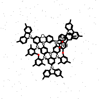 Cc1cc(C)c(N2c3cc4c(cc3B3c5cc(C)ccc5Oc5cc(-n6c7ccc(C)cc7c7cc(C)ccc76)cc2c53)B2c3cc5c(cc3N(c3c(C)cc(C)cc3C)c3cc(-n6c7ccc(C)cc7c7cc(C)ccc76)cc(c32)N4c2c(C)cc(C)cc2C)Nc2cc(-n3c4ccc(C)cc4c4cc(C)ccc43)cc3c2B5c2cc(C)cc4c5cc(C)ccc5n-3c24)c(C)c1